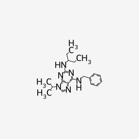 CCC(CC)Nc1nc(NCc2ccccc2)c2ncn(C(C)C)c2n1